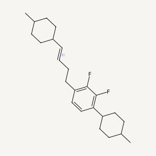 CC1CCC(/C=C/CCc2ccc(C3CCC(C)CC3)c(F)c2F)CC1